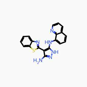 Nc1n[nH]c(Nc2cccc3cccnc23)c1-c1nc2ccccc2s1